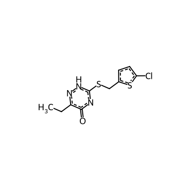 CCc1n[nH]c(SCc2ccc(Cl)s2)nc1=O